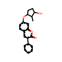 CC1C(O)CCC1Oc1ccc2cc(-c3ccccc3)c(=O)oc2c1